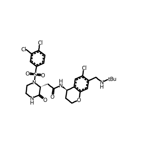 CC(C)(C)NCc1cc2c(cc1Cl)[C@H](NC(=O)C[C@@H]1C(=O)NCCN1S(=O)(=O)c1ccc(Cl)c(Cl)c1)CCO2